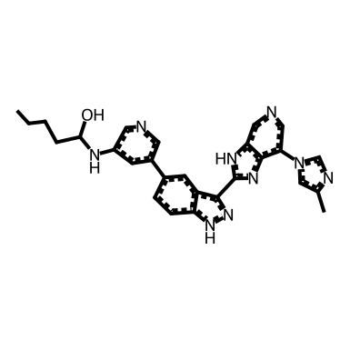 CCCCC(O)Nc1cncc(-c2ccc3[nH]nc(-c4nc5c(-n6cnc(C)c6)cncc5[nH]4)c3c2)c1